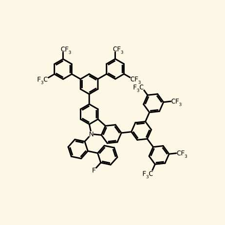 Fc1ccccc1-c1ccccc1-n1c2ccc(-c3cc(-c4cc(C(F)(F)F)cc(C(F)(F)F)c4)cc(-c4cc(C(F)(F)F)cc(C(F)(F)F)c4)c3)cc2c2cc(-c3cc(-c4cc(C(F)(F)F)cc(C(F)(F)F)c4)cc(-c4cc(C(F)(F)F)cc(C(F)(F)F)c4)c3)ccc21